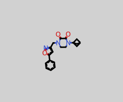 O=C1C(=O)N(C23CC(C2)C3)CCN1Cc1cc(-c2ccccc2)on1